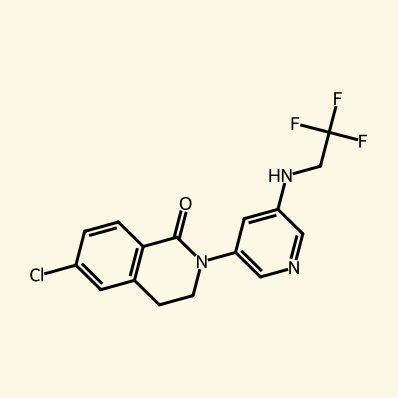 O=C1c2ccc(Cl)cc2CCN1c1cncc(NCC(F)(F)F)c1